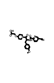 COc1ccc(CC(NC(=O)c2ccc(C#N)cn2)C(=O)N2CCC(OCC(=O)O)CC2)cc1